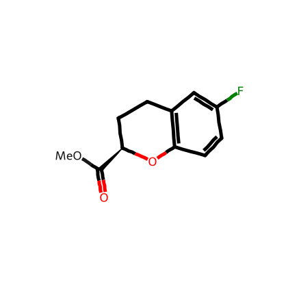 COC(=O)[C@H]1CCc2cc(F)ccc2O1